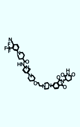 N#Cc1ccc(N2CCC(C(=O)Nc3ccc(N4CCC(OCCN5CCN(c6ccc7c(c6)C(=O)N(C6CCC(=O)NC6=O)C7=O)CC5)CC4)cn3)CC2)cc1C(F)(F)F